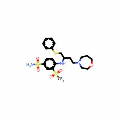 NS(=O)(=O)c1ccc(NC(CCN2CCCOCC2)CSc2ccccc2)c(S(=O)(=O)C(F)(F)F)c1